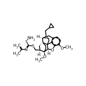 C=C(C)/N=C(\SN)SC[C@H]1C[C@@]23CC[C@]1(OC)[C@@H]1Oc4c(OC)ccc5c4C12CCN(CC1CC1)[C@@H]3C5